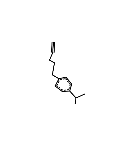 [C]#CCCCc1ccc(C(C)C)cc1